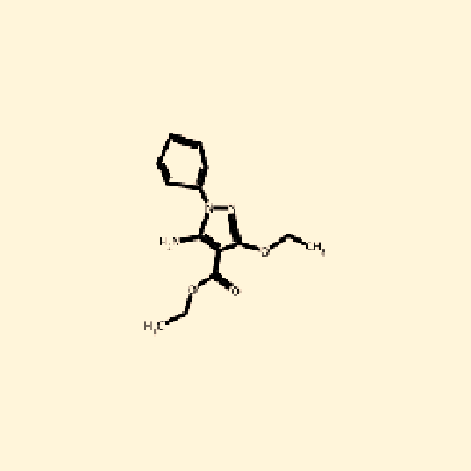 CCOC(=O)c1c(OCC)nn(-c2ccccc2)c1N